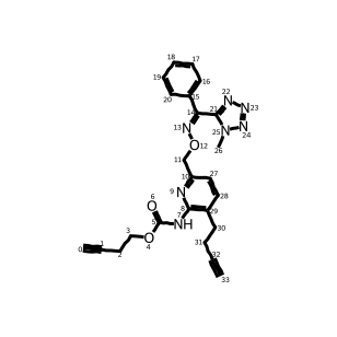 C#CCCOC(=O)Nc1nc(CO/N=C(/c2ccccc2)c2nnnn2C)ccc1CCC#C